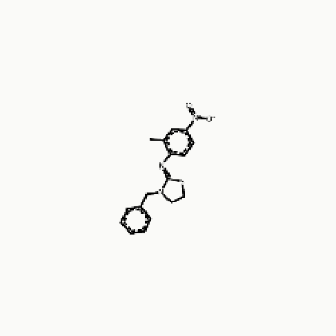 Cc1cc([N+](=O)[O-])ccc1N=C1SCCN1Cc1ccccc1